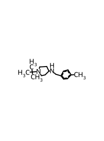 Cc1ccc(CNC2CCN(C(C)(C)C)CC2)cc1